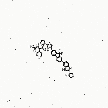 O=C(O)NC(C(=O)N1CCC[C@H]1c1ncc(-c2ccc3c(c2)C(F)(F)c2cc(-c4ccc5nc([C@@H]6CCCN6)[nH]c5c4)ccc2-3)[nH]1)C1CCOCC1